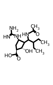 CCC(CC)C(NC(C)=O)C1[C@H](NC(=N)N)C[C@H](C(=O)O)[C@H]1O